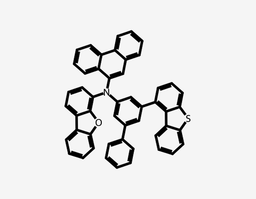 c1ccc(-c2cc(-c3cccc4sc5ccccc5c34)cc(N(c3cc4ccccc4c4ccccc34)c3cccc4c3oc3ccccc34)c2)cc1